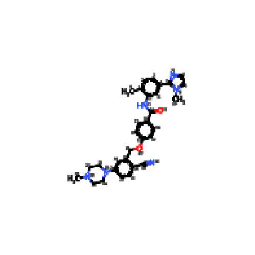 Cc1ccc(-c2nccn2C)cc1NC(=O)c1ccc(OCc2cc(N3CCN(C)CC3)ccc2C#N)cc1